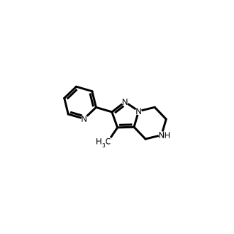 Cc1c(-c2ccccn2)nn2c1CNCC2